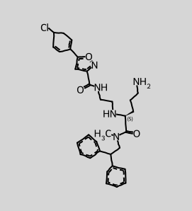 CN(CC(c1ccccc1)c1ccccc1)C(=O)[C@H](CCCN)NCCNC(=O)c1cc(C2=CCC(Cl)C=C2)on1